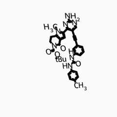 Cc1ccc(NC(=O)Nc2cccc(C#Cc3cnc(N)nc3-c3cc4c(n3C)CCN(C(=O)OC(C)(C)C)C4=O)c2)cc1